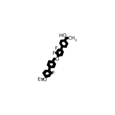 CCOc1ccc(-c2ccc(COc3ccc(C4CCC(C(C)O)CC4)c(F)c3F)cc2)c(F)c1